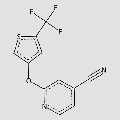 N#Cc1ccnc(Oc2csc(C(F)(F)F)c2)c1